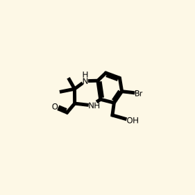 CC1(C)Nc2ccc(Br)c(CO)c2NC1C=O